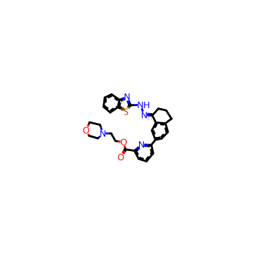 O=C(OCCN1CCOCC1)c1cccc(-c2ccc3c(c2)/C(=N/Nc2nc4ccccc4s2)CCC3)n1